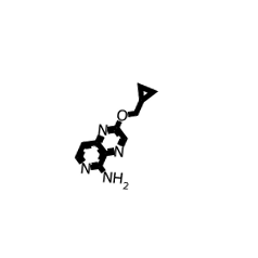 Nc1nccc2nc(OCC3CC3)cnc12